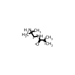 C=C(C)C(=O)NCC(C)(C)N